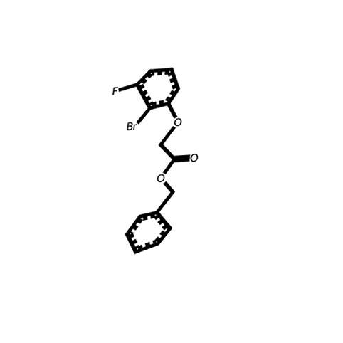 O=C(COc1cccc(F)c1Br)OCc1ccccc1